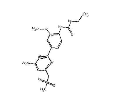 CCNC(=O)Nc1ccc(-c2nc(N)cc(CS(C)(=O)=O)n2)cc1OC